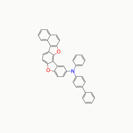 c1ccc(-c2ccc(N(c3ccccc3)c3ccc4oc5ccc6c(oc7ccc8ccccc8c76)c5c4c3)cc2)cc1